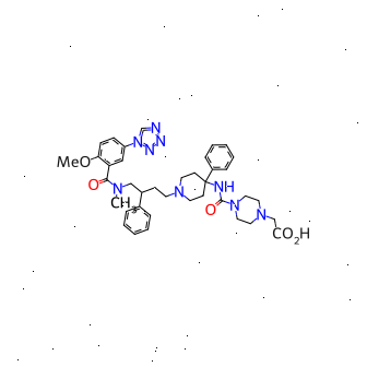 COc1ccc(-n2cnnn2)cc1C(=O)N(C)CC(CCN1CCC(NC(=O)N2CCN(CC(=O)O)CC2)(c2ccccc2)CC1)c1ccccc1